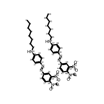 CCCCCCCCNc1ccc(N=Nc2ccc([N+](=O)[O-])c([N+](=O)[O-])c2)cc1.CCCCCCCNc1ccc(N=Nc2ccc([N+](=O)[O-])c([N+](=O)[O-])c2)cc1